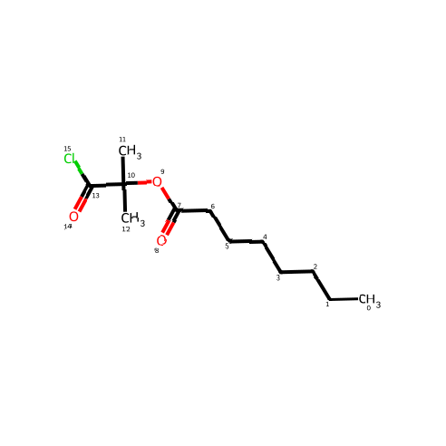 CCCCCCCC(=O)OC(C)(C)C(=O)Cl